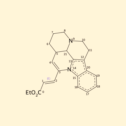 CCOC(=O)/C=C/C1=CC2CCCN3CCc4c(n1c1ccccc41)C23